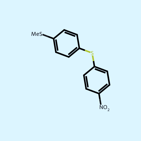 CSc1ccc(Sc2ccc([N+](=O)[O-])cc2)cc1